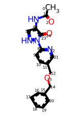 CC(=O)Nc1c[nH]n(-c2ccc(COCc3ccccc3)cn2)c1=O